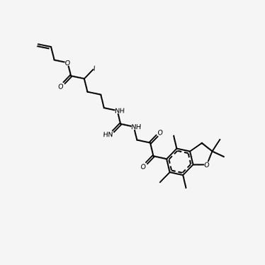 C=CCOC(=O)C(I)CCCNC(=N)NCC(=O)C(=O)c1c(C)c(C)c2c(c1C)CC(C)(C)O2